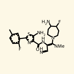 CN/C(=C(\C=N)NC(=O)c1nc(-c2cc(C)ccc2F)sc1N)N1CCC(N)C(F)CC1